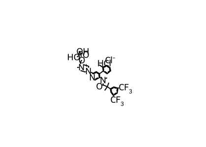 Cc1ccccc1-c1cc(N2CC[N+](C)(COP(=O)(O)O)CC2)ncc1N(C)C(=O)C(C)(C)c1cc(C(F)(F)F)cc(C(F)(F)F)c1.Cl.[Cl-]